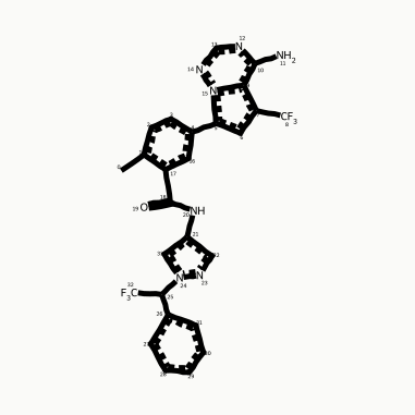 Cc1ccc(-c2cc(C(F)(F)F)c3c(N)ncnn23)cc1C(=O)Nc1cnn(C(c2ccccc2)C(F)(F)F)c1